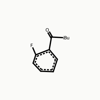 CCC(C)C(=O)c1ccccc1F